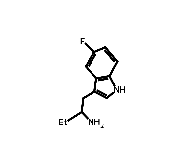 CCC(N)Cc1c[nH]c2ccc(F)cc12